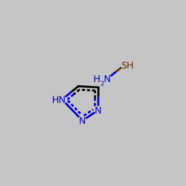 NS.c1c[nH]nn1